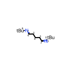 CC(C)(C)/N=C\CCC/C=N/C(C)(C)C